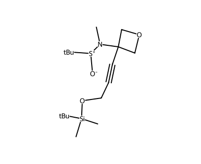 CN([S+]([O-])C(C)(C)C)C1(C#CCO[Si](C)(C)C(C)(C)C)COC1